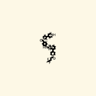 CC(F)(F)CCC(=O)N1CC=C(c2cccn3nc(Nc4ccc(C(=O)N5CCC(C6=CCNC=C6)C5)cc4)nc23)CC1